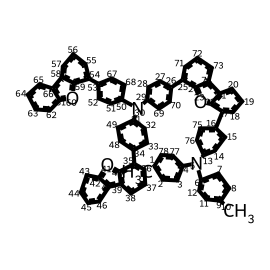 Cc1ccc(N(c2ccc(C)cc2)c2ccc(-c3cccc4c3oc3c(-c5ccc(N(c6ccc(-c7cccc8c7oc7ccccc78)cc6)c6ccc(-c7cccc8c7oc7ccccc78)cc6)cc5)cccc34)cc2)cc1